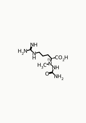 CN(NC(N)=O)[C@@H](CCCNC(=N)N)C(=O)O